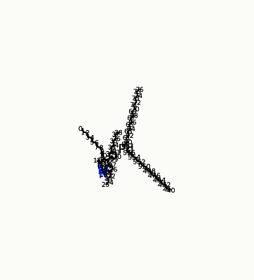 CCCCCCCCCC#CC(C(C)=C=[N+]=[N-])=C(c1ccc(CCCC)cc1)c1cccc(CCCCCC)c1.CCCCCCCCCCCCCCCCC[CH2][Pd][CH2]CCCCCCCCCCCCCCCCC